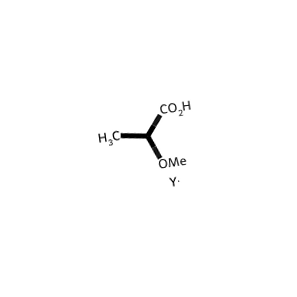 COC(C)C(=O)O.[Y]